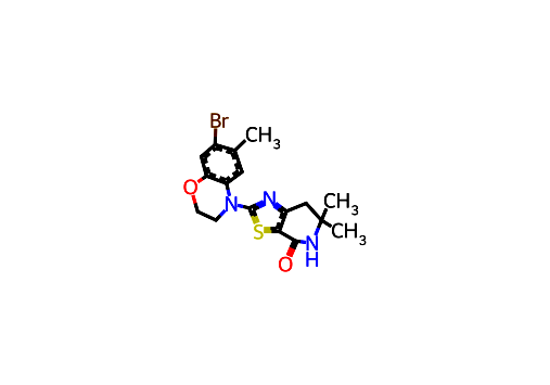 Cc1cc2c(cc1Br)OCCN2c1nc2c(s1)C(=O)NC(C)(C)C2